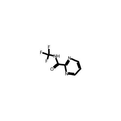 O=C(NC(F)(F)F)c1ncccn1